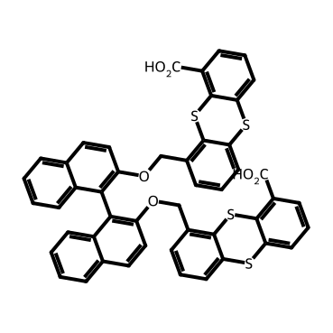 O=C(O)c1cccc2c1Sc1c(COc3ccc4ccccc4c3-c3c(OCc4cccc5c4Sc4c(cccc4C(=O)O)S5)ccc4ccccc34)cccc1S2